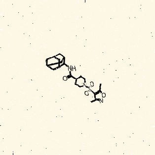 Cc1noc(C)c1S(=O)(=O)N1CCC(C(=O)NC2C3CC4CC(C3)CC2C4)CC1